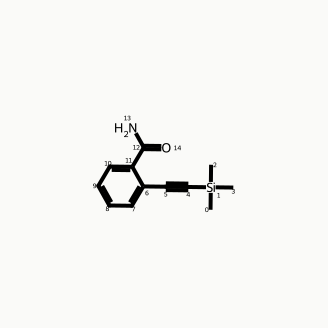 C[Si](C)(C)C#Cc1ccccc1C(N)=O